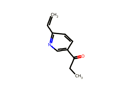 C=Cc1ccc(C(=O)CC)cn1